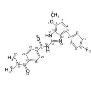 COc1ccc(-c2ccc(F)cc2)c2nc(NC(=O)c3ccc(C(=O)N(C)C)cc3)[nH]c12